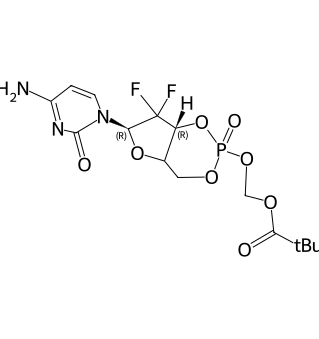 CC(C)(C)C(=O)OCOP1(=O)OCC2O[C@@H](n3ccc(N)nc3=O)C(F)(F)[C@@H]2O1